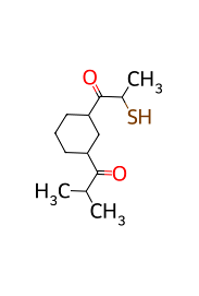 CC(C)C(=O)C1CCCC(C(=O)C(C)S)C1